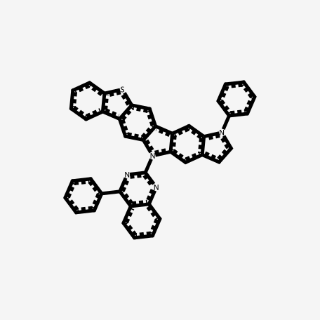 c1ccc(-c2nc(-n3c4cc5ccn(-c6ccccc6)c5cc4c4cc5sc6ccccc6c5cc43)nc3ccccc23)cc1